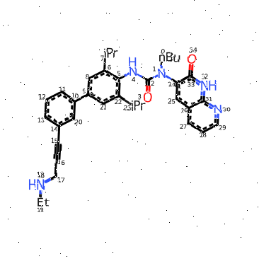 CCCCN(C(=O)Nc1c(C(C)C)cc(-c2cccc(C#CCNCC)c2)cc1C(C)C)c1cc2cccnc2[nH]c1=O